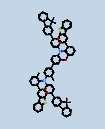 Cc1cc(-c2ccc(N(c3ccc(-c4ccc5c(c4)C(C)(C)c4ccccc4-5)cc3)c3c(C)cccc3-c3ccc4sc5ccccc5c4c3)c(C)c2)ccc1N(c1ccc(-c2ccc3c(c2)C(C)(C)c2ccccc2-3)cc1)c1c(C)cccc1-c1ccc2sc3ccccc3c2c1